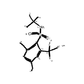 Cc1cc(C)c(S(=O)(=O)NC(C)(C)C)c(C(F)(F)F)c1